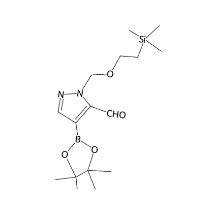 CC1(C)OB(c2cnn(COCC[Si](C)(C)C)c2C=O)OC1(C)C